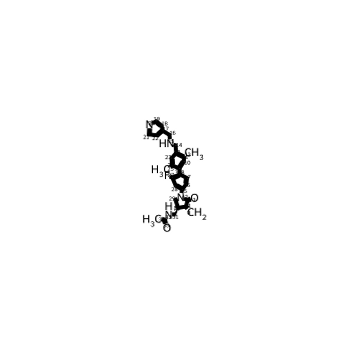 C=C1C(=O)N(c2ccc(-c3cc(C)c(CNCc4ccncc4)cc3C)c(F)c2)C[C@@H]1CNC(C)=O